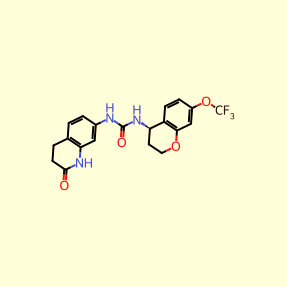 O=C1CCc2ccc(NC(=O)N[C@@H]3CCOc4cc(OC(F)(F)F)ccc43)cc2N1